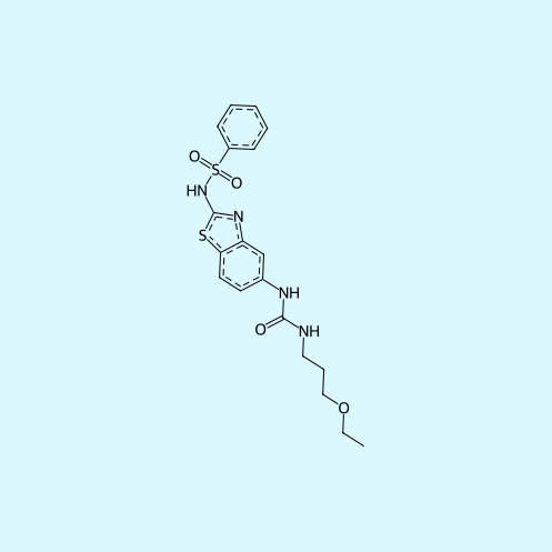 CCOCCCNC(=O)Nc1ccc2sc(NS(=O)(=O)c3ccccc3)nc2c1